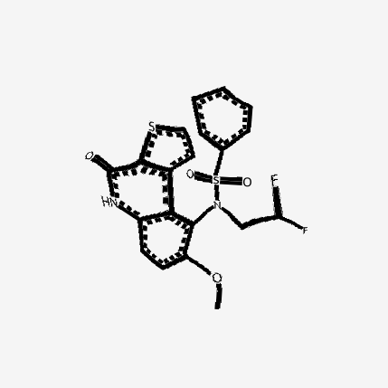 COc1ccc2[nH]c(=O)c3sccc3c2c1N(CC(F)F)S(=O)(=O)c1ccccc1